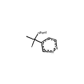 CCCCCC(C)(C)c1ccnnc1